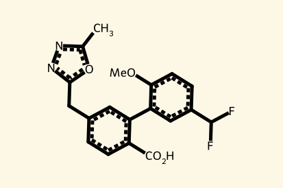 COc1ccc(C(F)F)cc1-c1cc(Cc2nnc(C)o2)ccc1C(=O)O